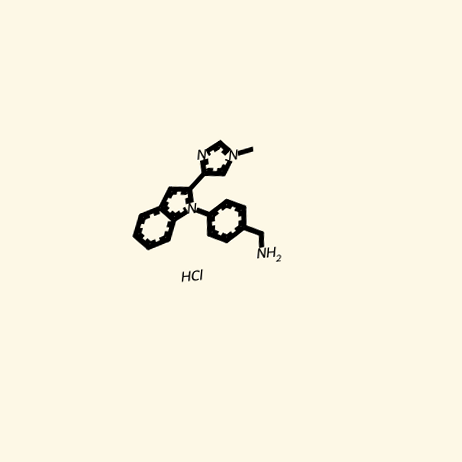 Cl.Cn1cnc(-c2cc3ccccc3n2-c2ccc(CN)cc2)c1